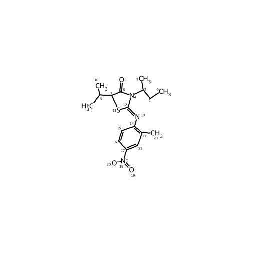 CCC(C)N1C(=O)C(C(C)C)SC1=Nc1ccc([N+](=O)[O-])cc1C